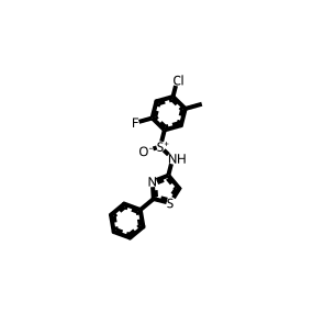 Cc1cc([S+]([O-])Nc2csc(-c3ccccc3)n2)c(F)cc1Cl